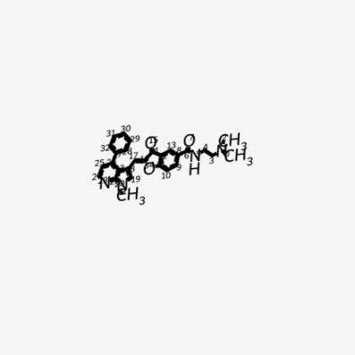 CN(C)CCNC(=O)c1ccc2c(c1)C(=O)/C(=C/c1cn(C)c3nccc(-c4ccccc4)c13)O2